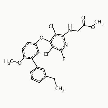 CCc1cccc(-c2cc(Oc3c(Cl)c(F)nc(NCC(=O)OC)c3Cl)ccc2OC)c1